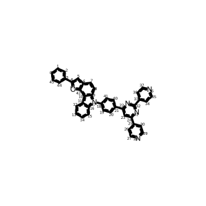 c1ccc(-c2cc3ccc4c(c5ccccc5n4-c4ccc(-c5cc(-c6ccncc6)nc(-c6ccncc6)n5)cc4)c3o2)cc1